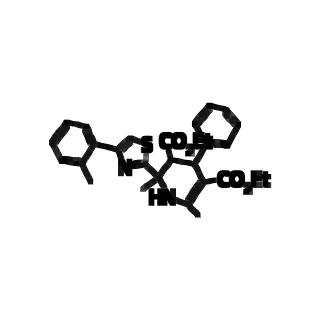 CCOC(=O)C1=C(C)NC(C)(c2nc(-c3ccccc3C)cs2)C(C(=O)OCC)C1c1ccccc1